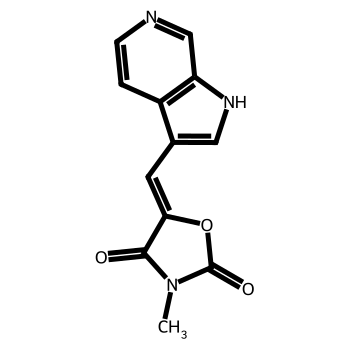 CN1C(=O)O/C(=C\c2c[nH]c3cnccc23)C1=O